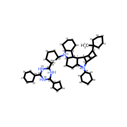 CC1(C2CC3C2C2C4C5C6CCCCC6N(C6CCCC(C7NC(C8CCCCC8)NC(C8CCCC8)N7)C6)C5CCC4N(C4CCCCC4)C32)CCCCC1